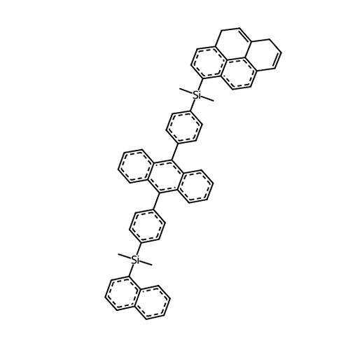 C[Si](C)(c1ccc(-c2c3ccccc3c(-c3ccc([Si](C)(C)c4ccc5c6c7c(ccc46)C=CCC7=CC5)cc3)c3ccccc23)cc1)c1cccc2ccccc12